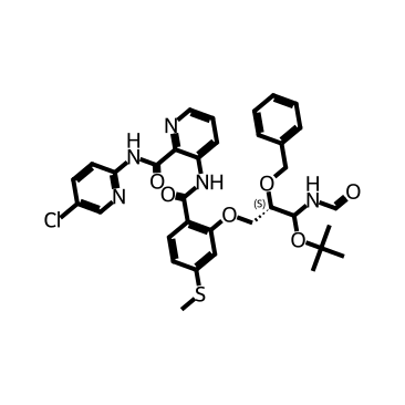 CSc1ccc(C(=O)Nc2cccnc2C(=O)Nc2ccc(Cl)cn2)c(OC[C@H](OCc2ccccc2)C(NC=O)OC(C)(C)C)c1